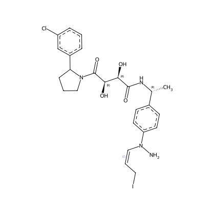 C[C@@H](NC(=O)[C@H](O)[C@@H](O)C(=O)N1CCCC1c1cccc(Cl)c1)c1ccc(N(N)/C=C\CI)cc1